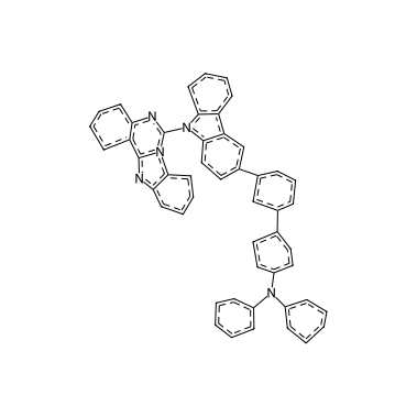 c1ccc(N(c2ccccc2)c2ccc(-c3cccc(-c4ccc5c(c4)c4ccccc4n5-c4nc5ccccc5c5nc6ccccc6n45)c3)cc2)cc1